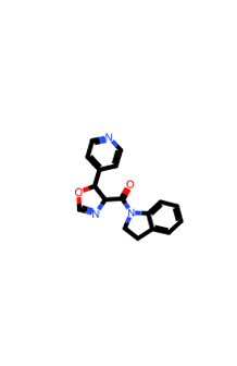 O=C(C1N=COC1c1ccncc1)N1CCc2ccccc21